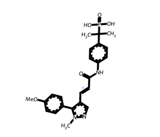 COc1ccc(-c2c(/C=C/C(=O)Nc3ccc(C(C)(C)P(=O)(O)O)cc3)cnn2C)cc1